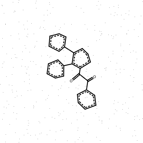 O=C(C(=O)c1cccc(-c2ccccc2)c1-c1ccccc1)c1ccccc1